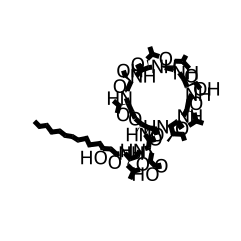 CCCCCCCCCCCC(O)CC(=O)N[C@@H](CC(C)C)C(=O)N[C@H](CCC(=O)O)C(=O)N[C@H]1C(=O)N[C@H]([C@H](C)CC)C(=O)N[C@@H](CC(C)C)C(=O)N[C@H](CO)C(=O)N[C@@H](CC(C)C)C(=O)N[C@@H](CC(C)C)C(=O)N[C@H](CO)C(=O)N[C@@H](C(C)C)C(=O)O[C@H]1C